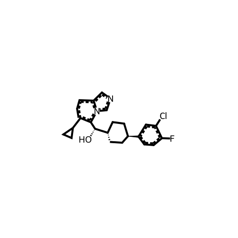 O[C@H](c1c(C2CC2)ccc2cncn12)[C@H]1CC[C@H](c2ccc(F)c(Cl)c2)CC1